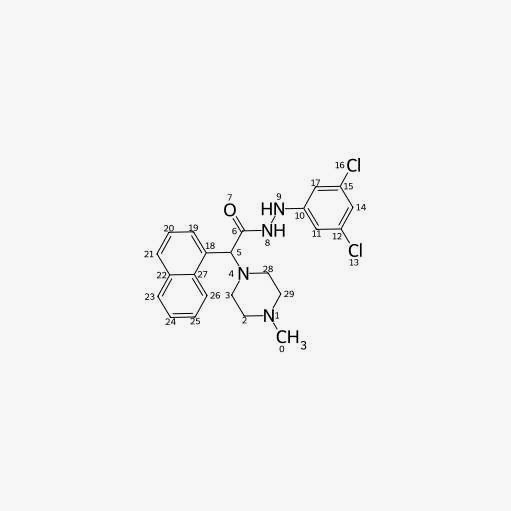 CN1CCN(C(C(=O)NNc2cc(Cl)cc(Cl)c2)c2cccc3ccccc23)CC1